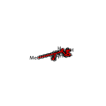 COCCOCCOCCOCCOCCOCCOCCOCCNC(=O)[C@H](CCC(=O)NCC(=O)NCC(=O)N[C@@H](Cc1ccccc1)C(=O)NCC(=O)NCO[C@H](C(=O)N[C@H]1CCc2c(C)c(F)cc3nc4c(c1c23)Cn1c-4cc2c(c1=O)COC(=O)[C@]2(O)CC1CC1)C1CC1)NC(=O)CCCCCN1C(=O)C=CC1=O